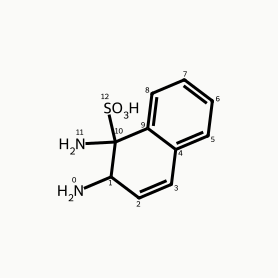 NC1C=Cc2ccccc2C1(N)S(=O)(=O)O